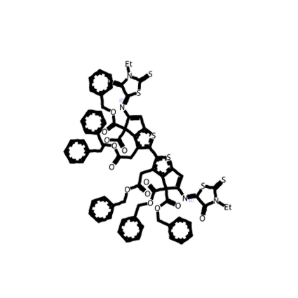 CCN1C(=O)/C(=N/C2=Cc3sc(-c4sc5c(c4CC(=O)OCc4ccccc4)C(C(=O)OCc4ccccc4)(C(=O)OCc4ccccc4)C(/N=C4\SC(=S)N(CC)C4=O)=C5)c(CC(=O)OCc4ccccc4)c3C2(C(=O)OCc2ccccc2)C(=O)OCc2ccccc2)SC1=S